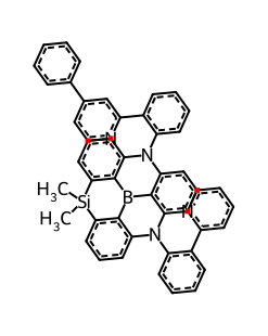 C[Si]1(C)c2cccc3c2B2c4c(cccc4N(c4ccccc4-c4cc(-c5ccccc5)ccn4)c4cccc1c42)N3c1ccccc1-c1ccccn1